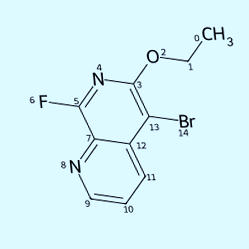 CCOc1nc(F)c2ncccc2c1Br